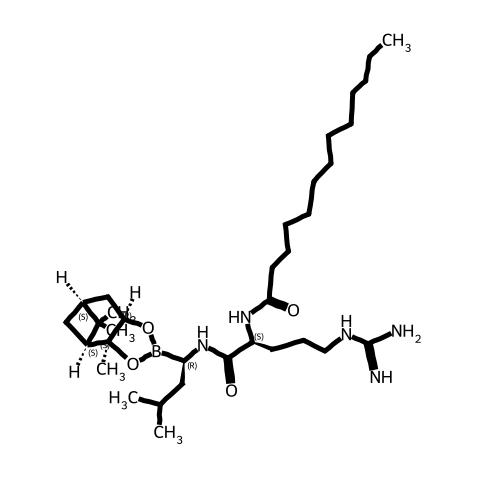 CCCCCCCCCCCCC(=O)N[C@@H](CCCNC(=N)N)C(=O)N[C@@H](CC(C)C)B1O[C@@H]2C[C@@H]3C[C@@H](C3(C)C)[C@]2(C)O1